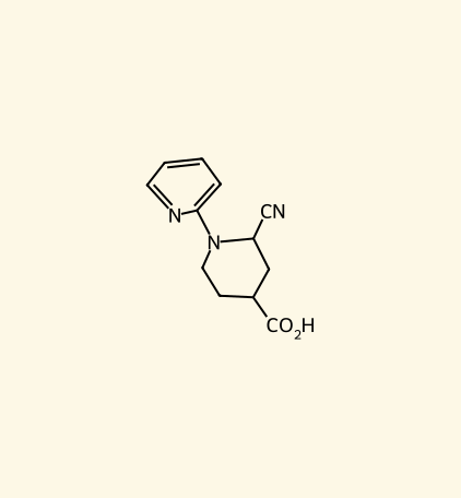 N#CC1CC(C(=O)O)CCN1c1ccccn1